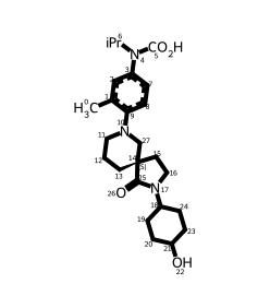 Cc1cc(N(C(=O)O)C(C)C)ccc1N1CCC[C@]2(CCN(C3CCC(O)CC3)C2=O)C1